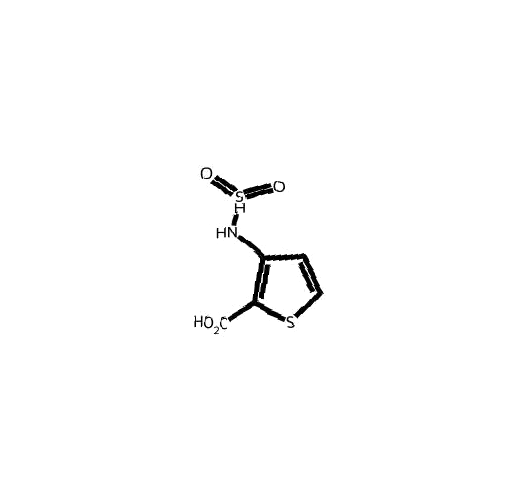 O=C(O)c1sccc1N[SH](=O)=O